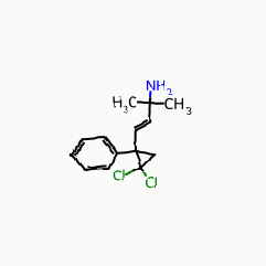 CC(C)(N)C=CC1(c2ccccc2)CC1(Cl)Cl